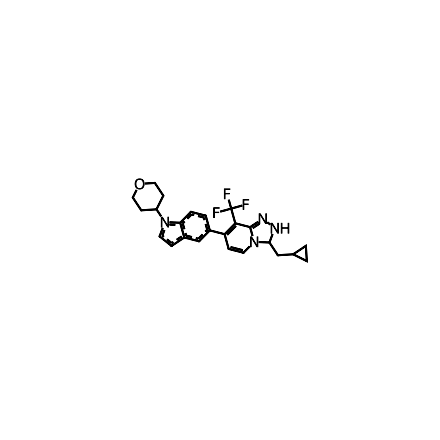 FC(F)(F)C1=C(c2ccc3c(ccn3C3CCOCC3)c2)C=CN2C1=NNC2CC1CC1